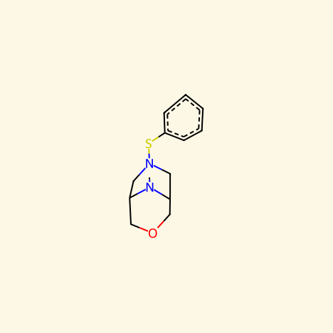 CN1C2COCC1CN(Sc1ccccc1)C2